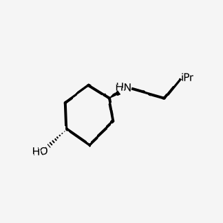 CC(C)CN[C@H]1CC[C@H](O)CC1